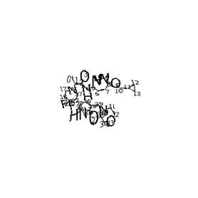 C[C@@H](C(=O)Nc1ccc(OCC2CC2)nn1)N1CCC(F)(F)[C@@H](c2c[nH]c(=O)c(CN3CCOCC3)c2)C1